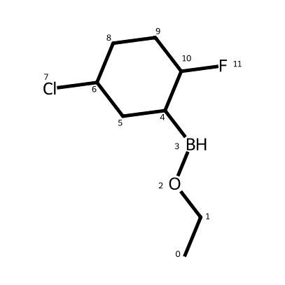 CCOBC1CC(Cl)CCC1F